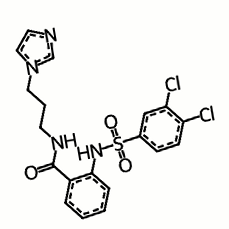 O=C(NCCCn1ccnc1)c1ccccc1NS(=O)(=O)c1ccc(Cl)c(Cl)c1